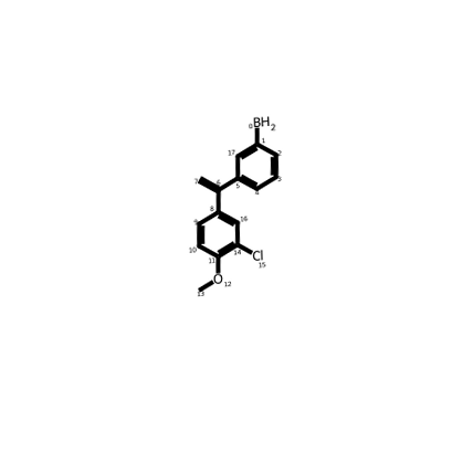 Bc1cccc(C(=C)c2ccc(OC)c(Cl)c2)c1